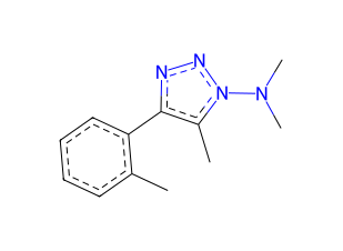 Cc1ccccc1-c1nnn(N(C)C)c1C